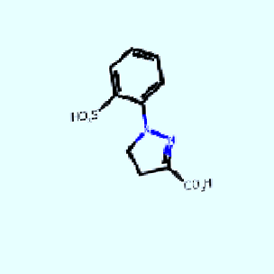 O=C(O)C1=NN(c2ccccc2S(=O)(=O)O)CC1